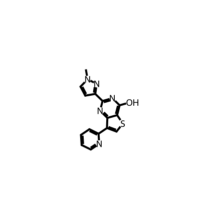 Cn1ccc(-c2nc(O)c3scc(-c4ccccn4)c3n2)n1